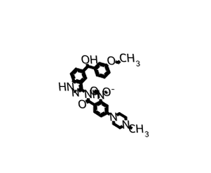 CCOc1cccc(C(O)c2ccc3[nH]nc(NC(=O)c4ccc(N5CCN(C)CC5)cc4[N+](=O)[O-])c3c2)c1